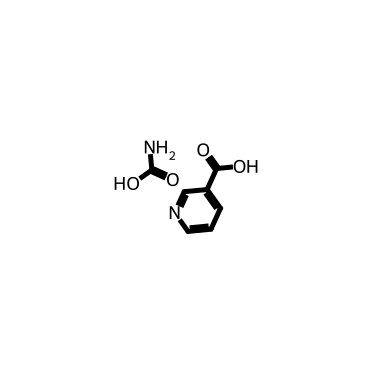 NC(=O)O.O=C(O)c1cccnc1